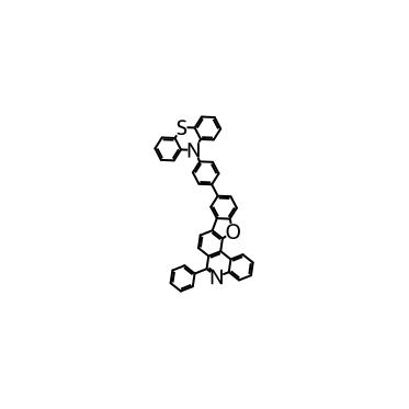 c1ccc(-c2nc3ccccc3c3c2ccc2c4cc(-c5ccc(N6c7ccccc7Sc7ccccc76)cc5)ccc4oc23)cc1